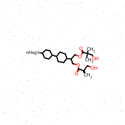 C=C(CO)C(=O)OCC(COC(=O)C(C)(C)CO)C1CCC(C2CCC(CCCCCCC)CC2)CC1